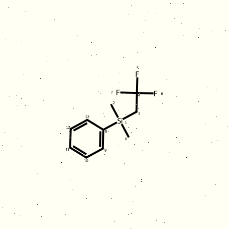 C[Si](C)(CC(F)(F)F)c1ccccc1